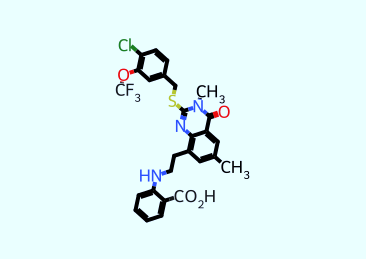 Cc1cc(CCNc2ccccc2C(=O)O)c2nc(SCc3ccc(Cl)c(OC(F)(F)F)c3)n(C)c(=O)c2c1